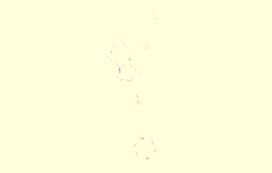 Fc1cccc(F)c1OCC#Cc1nc2c(N[C@@H]3CCNC3)ncnc2[nH]1